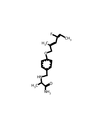 C/C=C(F)\C=C(/C)COc1ccc(CNC(C)C(N)=O)cc1